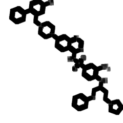 O=S(=O)(Nc1ncnc2cc(N3CCN(Cc4cc(Cl)ccc4-c4ccccc4)CC3)ccc12)c1ccc(NC(CCN2CCCC2)CSc2ccccc2)c(C(F)(F)F)c1